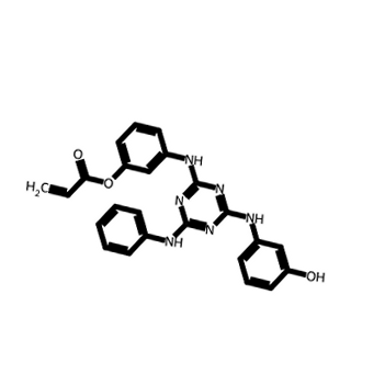 C=CC(=O)Oc1cccc(Nc2nc(Nc3ccccc3)nc(Nc3cccc(O)c3)n2)c1